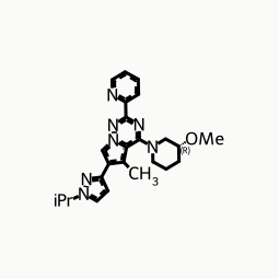 CO[C@@H]1CCCN(c2nc(-c3ccccn3)nn3cc(-c4ccn(C(C)C)n4)c(C)c23)C1